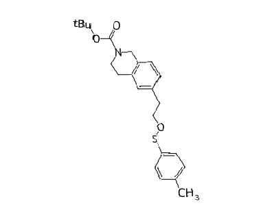 Cc1ccc(SOCCc2ccc3c(c2)CCN(C(=O)OC(C)(C)C)C3)cc1